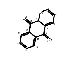 O=C1C2=CC=COC2C(=O)c2ccccc21